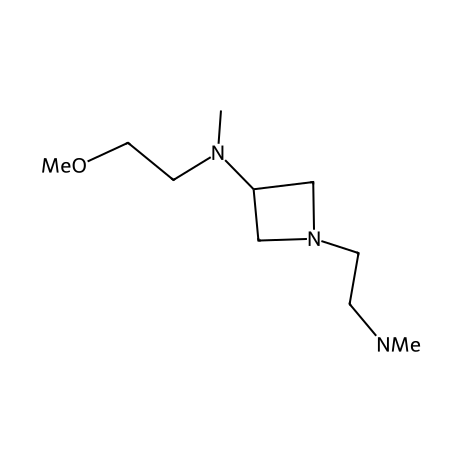 CNCCN1CC(N(C)CCOC)C1